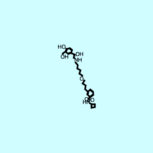 O=S(=O)(NC1CCC1)c1cccc(CCCCOCCCCCCNC[C@@H](O)c2ccc(O)c(CO)c2)c1